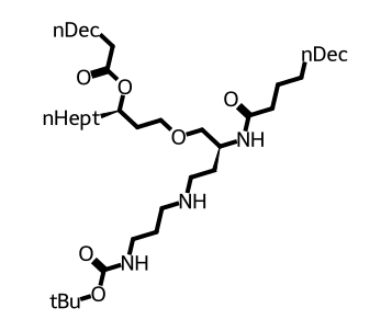 CCCCCCCCCCCCCC(=O)N[C@@H](CCNCCCNC(=O)OC(C)(C)C)COCC[C@@H](CCCCCCC)OC(=O)CCCCCCCCCCC